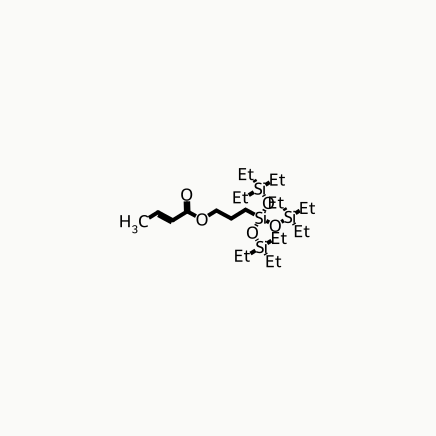 CC=CC(=O)OCCC[Si](O[Si](CC)(CC)CC)(O[Si](CC)(CC)CC)O[Si](CC)(CC)CC